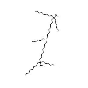 CCCCCCCCC(CCCCCC)(CCCCCCCCN(CCCCCO)CCCCCCCCC(CCCCCC)(CCCCCCCC)C(N)=O)C(N)=O